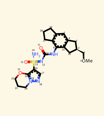 COC[C@@H]1Cc2cc3c(c(NC(=O)N=[S@](N)(=O)c4cnn5c4OCCC5)c2C1)CCC3